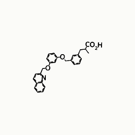 CC(Cc1cccc(COc2cccc(OCc3ccc4ccccc4n3)c2)c1)C(=O)O